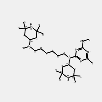 CNc1nc(C)nc(N(CCCCCCN(C)C2CC(C)(C)NC(C)(C)C2)C2CC(C)(C)NC(C)(C)C2)n1